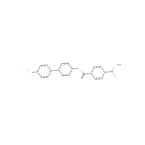 CCCCCCCCOc1ccc(-c2ccc(OC(=O)c3ccc(C(C)OCCC)cc3)cc2)cc1